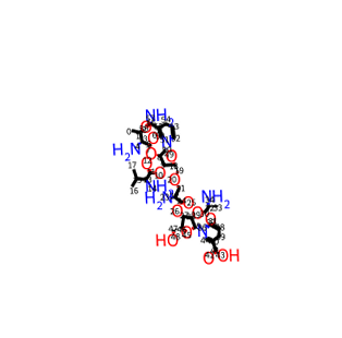 CC(C)[C@H](N)C(=O)O[C@@H]1[C@H](OC(=O)[C@@H](N)C(C)C)[C@@H](COC[C@H](N)C(=O)O[C@H]2[C@@H](OC(=O)[C@H](C)N)[C@H](N3C=CCC(C(=O)O)=C3)O[C@@H]2CO)O[C@H]1N1C=CCC(C(N)=O)=C1